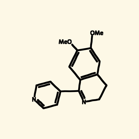 COc1cc2c(cc1OC)C(c1ccncc1)=NCC2